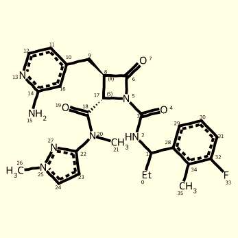 CCC(NC(=O)N1C(=O)[C@H](Cc2ccnc(N)c2)[C@H]1C(=O)N(C)c1ccn(C)n1)c1cccc(F)c1C